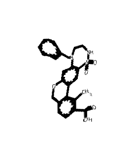 Cc1c(C(=O)O)ccc2c1-c1cc3c(cc1OC2)N(c1ccccc1)CCNS3(=O)=O